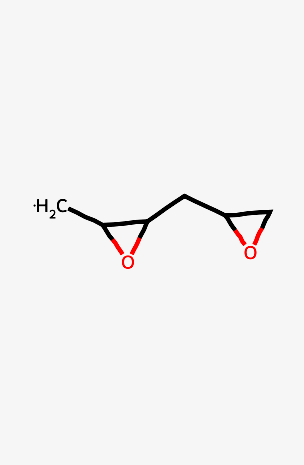 [CH2]C1OC1CC1CO1